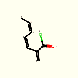 C=C(/C=C\C=C/C)C(=O)Cl